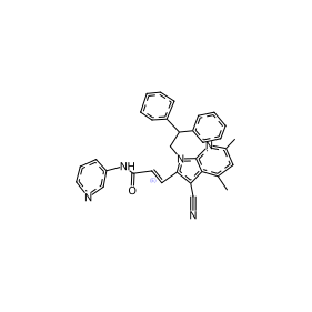 Cc1cc(C)c2c(C#N)c(/C=C/C(=O)Nc3cccnc3)n(CC(c3ccccc3)c3ccccc3)c2n1